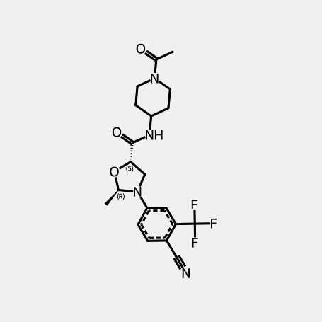 CC(=O)N1CCC(NC(=O)[C@@H]2CN(c3ccc(C#N)c(C(F)(F)F)c3)[C@@H](C)O2)CC1